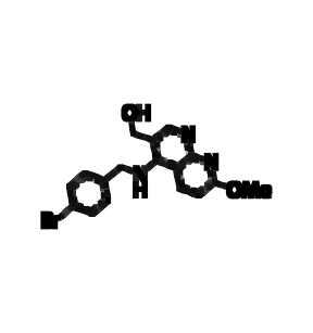 COc1ccc2c(NCc3ccc(Br)cc3)c(CO)cnc2n1